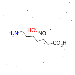 NCCCCCCC(=O)O.O=NO